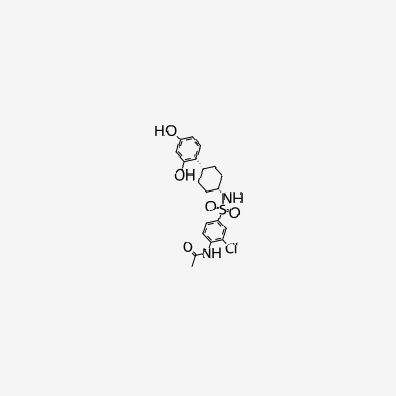 CC(=O)Nc1ccc(S(=O)(=O)N[C@H]2CC[C@@H](c3ccc(O)cc3O)CC2)cc1Cl